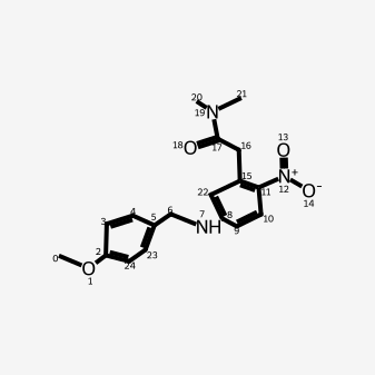 COc1ccc(CNc2ccc([N+](=O)[O-])c(CC(=O)N(C)C)c2)cc1